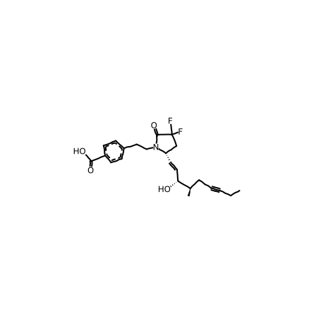 CCC#CC[C@@H](C)[C@H](O)/C=C/[C@H]1CC(F)(F)C(=O)N1CCc1ccc(C(=O)O)cc1